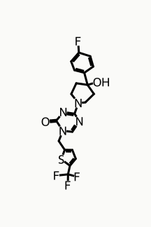 O=c1nc(N2CCC(O)(c3ccc(F)cc3)CC2)ncn1Cc1ccc(C(F)(F)F)s1